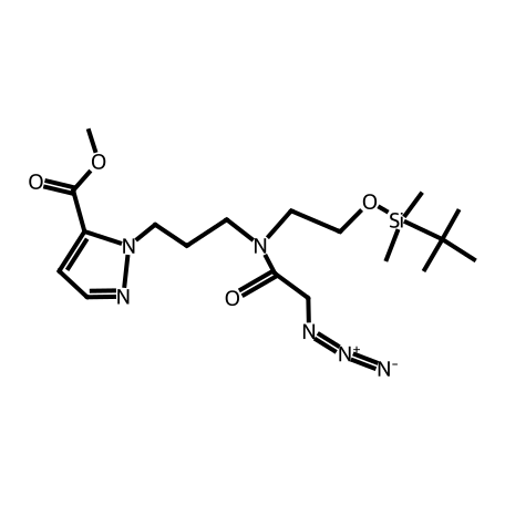 COC(=O)c1ccnn1CCCN(CCO[Si](C)(C)C(C)(C)C)C(=O)CN=[N+]=[N-]